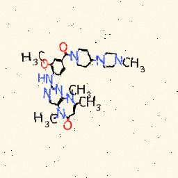 COc1cc(C(=O)N2CCC(N3CCN(C)CC3)CC2)ccc1Nc1ncc2c(n1)N(C)C(C)=CC(=O)N2C